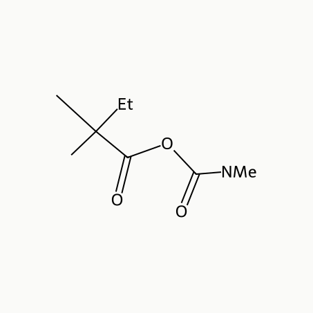 CCC(C)(C)C(=O)OC(=O)NC